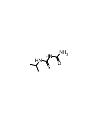 CC(C)NC(=S)NC(N)=O